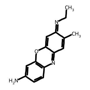 CC/N=c1/cc2oc3cc(N)ccc3nc-2cc1C